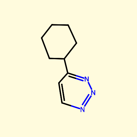 c1cc(C2CCCCC2)nnn1